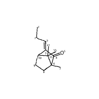 CCC=C1C(=O)C2(C)CCC1C2(C)C